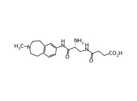 CN1CCc2ccc(NC(=O)[C@H](N)CNC(=O)CCC(=O)O)cc2CC1